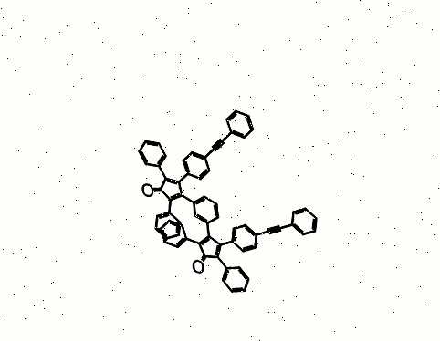 O=C1C(c2ccccc2)=C(c2ccc(C#Cc3ccccc3)cc2)C(c2cccc(C3=C(c4ccccc4)C(=O)C(c4ccccc4)=C3c3ccc(C#Cc4ccccc4)cc3)c2)=C1c1ccccc1